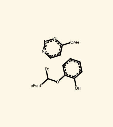 CCCCCC(CC)Oc1ccccc1O.COc1ccnnn1